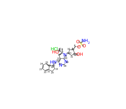 CCO.Cl.NS(=O)(=O)OC[C@@H]1C[C@@H](n2ccc3c(N[C@H]4CCc5ccccc54)ncnc32)C[C@@H]1O